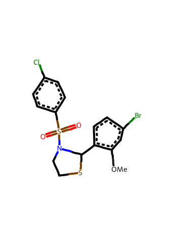 COc1cc(Br)ccc1C1SCCN1S(=O)(=O)c1ccc(Cl)cc1